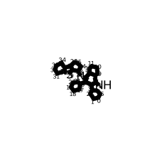 c1ccc2c(c1)[nH]c1c3ccccc3c3c(c4ccccc4n3-c3cccc4c3sc3ccccc34)c21